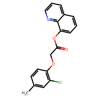 Cc1ccc(OCC(=O)Oc2cccc3cccnc23)c(Cl)c1